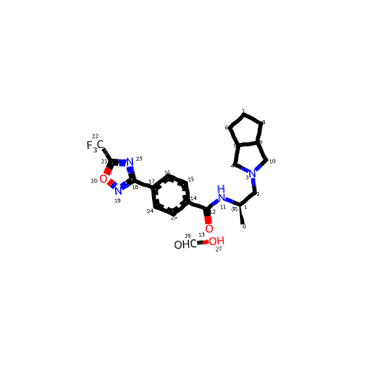 C[C@H](CN1CC2CCCC2C1)NC(=O)c1ccc(-c2noc(C(F)(F)F)n2)cc1.O=CO